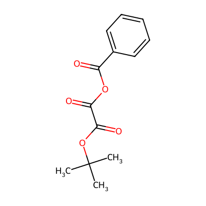 CC(C)(C)OC(=O)C(=O)OC(=O)c1ccccc1